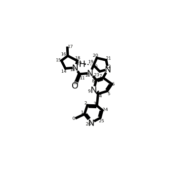 Cc1cc(-c2ccc3c(n2)N(C(=O)N2CCC(C)C2)[C@H]2CCN3C2)ccn1